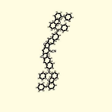 N#Cc1c2c(cc3oc4cc5cc(N(c6ccccc6)c6cccc7c6oc6c(-c8ccccc8)cccc67)ccc5cc4c13)oc1cc3cc(N(c4ccccc4)c4cccc5c4oc4c(-c6ccccc6)cccc45)ccc3cc12